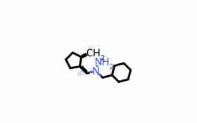 C=C1CCC/C1=C/N(N)CC1CCCCC1